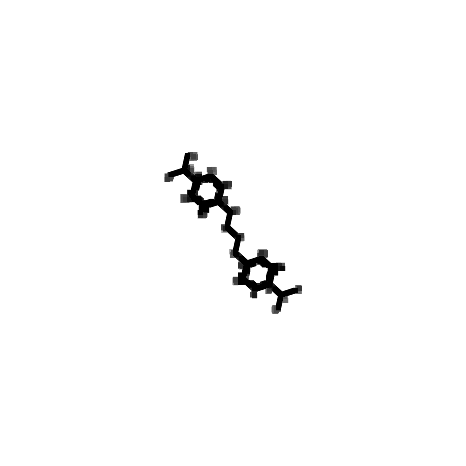 CC(C)c1cnc(CCCCc2ccc(C(C)C)nn2)cn1